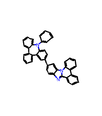 c1ccc(N2c3ccccc3-c3ccccc3-c3cc(-c4ccc5nc6c7ccccc7c7ccccc7n6c5c4)ccc32)cc1